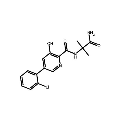 CC(C)(NC(=O)c1ncc(-c2ccccc2Cl)cc1O)C(N)=O